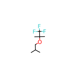 CC(C)COC(C)(C)C(F)(F)F